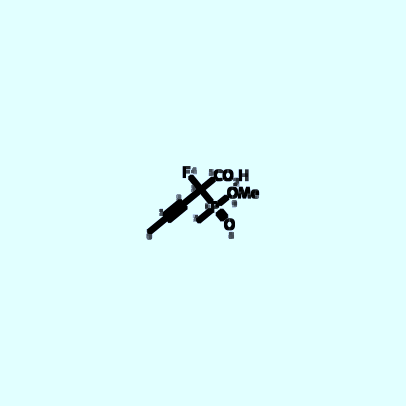 CC#CC(F)(C(=O)O)P(C)(=O)OC